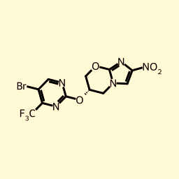 O=[N+]([O-])c1cn2c(n1)OC[C@@H](Oc1ncc(Br)c(C(F)(F)F)n1)C2